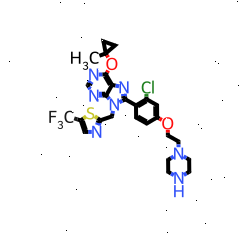 CC1(Oc2ncnc3c2nc(-c2ccc(OCCN4CCNCC4)cc2Cl)n3Cc2ncc(C(F)(F)F)s2)CC1